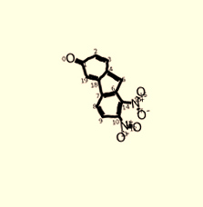 O=C1C=CC2=Cc3c(ccc([N+](=O)[O-])c3[N+](=O)[O-])C2=C1